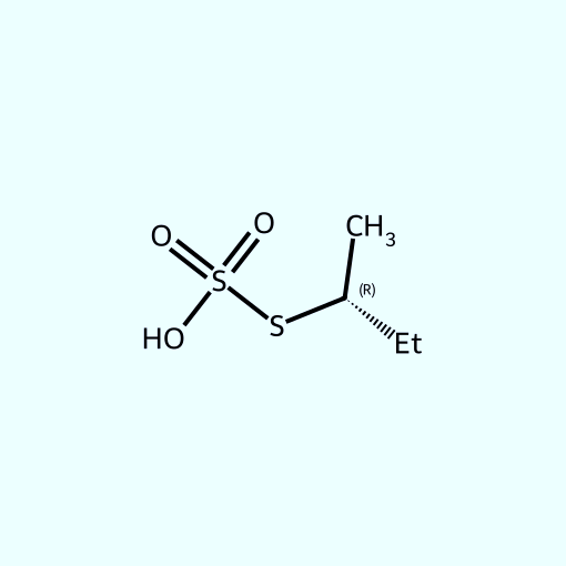 CC[C@@H](C)SS(=O)(=O)O